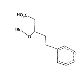 CC(C)(C)OC(CCc1ccccc1)CC(=O)O